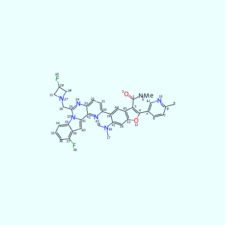 CNC(=O)c1c(-c2ccc(C)nc2)oc2cc(N(C)C)c(-c3ccc4nc(CN5CC(F)C5)n5c6cccc(F)c6cc5c4n3)cc12